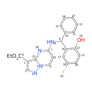 CCOC(=O)c1cnn2ccc(NC(c3ccccc3)c3cc(F)ccc3O)nc12